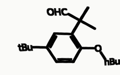 CCCCOc1ccc(C(C)(C)C)cc1C(C)(C)C=O